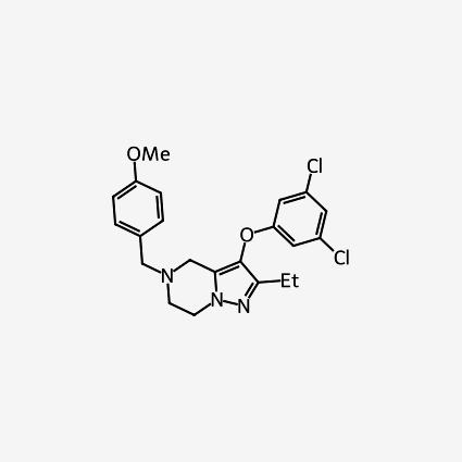 CCc1nn2c(c1Oc1cc(Cl)cc(Cl)c1)CN(Cc1ccc(OC)cc1)CC2